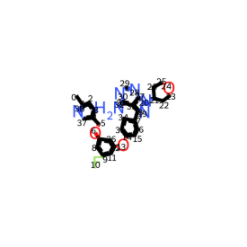 Cc1ccc(COc2cc(F)cc(Oc3ccc(-c4nn(C5CCOCC5)c5ncnc(N)c45)cc3)c2)cn1